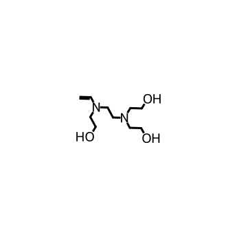 C=CN(CCO)CCN(CCO)CCO